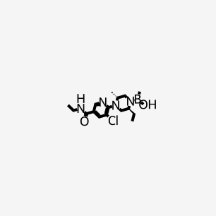 CCNC(=O)c1cnc(N2C[C@H](CC)N(B(C)O)C[C@H]2C)c(Cl)c1